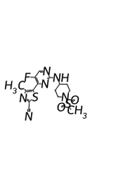 Cc1nc(C#N)sc1-c1nc(NC2CCN(S(C)(=O)=O)CC2)ncc1F